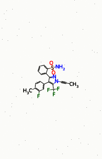 CC#Cn1nc(-c2ccccc2S(N)(=O)=O)c(-c2ccc(C)c(F)c2)c1C(F)(F)F